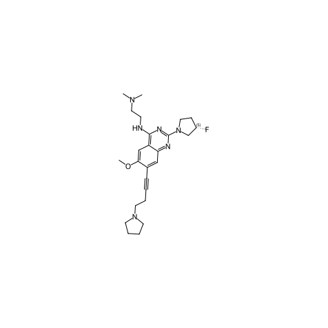 COc1cc2c(NCCN(C)C)nc(N3CC[C@H](F)C3)nc2cc1C#CCCN1CCCC1